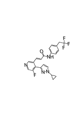 O=C(C=Cc1cncc(F)c1-c1ccn(C2CC2)n1)Nc1ccc(CC(F)(F)F)cc1